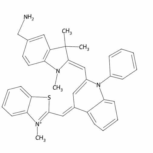 CN1/C(=C\C2=CC(=Cc3sc4ccccc4[n+]3C)c3ccccc3N2c2ccccc2)C(C)(C)c2cc(CN)ccc21